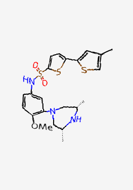 COc1ccc(NS(=O)(=O)c2ccc(-c3cc(C)cs3)s2)cc1N1C[C@@H](C)N[C@@H](C)C1